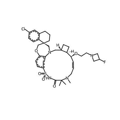 CN1CC=C[C@H](OCCN2CC(F)C2)[C@@H]2CC[C@H]2CN2C[C@@]3(CCCc4cc(Cl)ccc43)COc3ccc(cc32)S(=O)(=O)NC(=O)C1(C)C